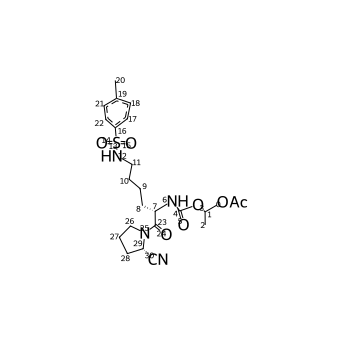 CC(=O)OC(C)OC(=O)N[C@@H](CCCCNS(=O)(=O)c1ccc(C)cc1)C(=O)N1CCC[C@H]1C#N